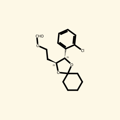 O=COCC[C@@H]1OC2(CCCCC2)O[C@H]1c1ccccc1Cl